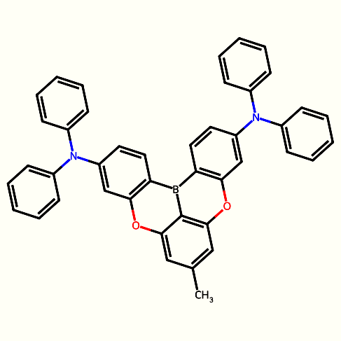 Cc1cc2c3c(c1)Oc1cc(N(c4ccccc4)c4ccccc4)ccc1B3c1ccc(N(c3ccccc3)c3ccccc3)cc1O2